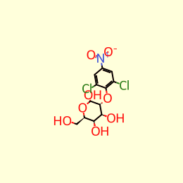 O=[N+]([O-])c1cc(Cl)c(O[C@@H]2[C@@H](O)[C@@H](O)[C@@H](CO)O[C@H]2O)c(Cl)c1